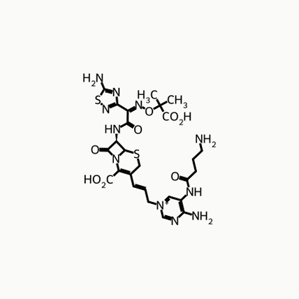 CC(C)(O/N=C(\C(=O)N[C@@H]1C(=O)N2C(C(=O)O)=C(/C=C/C[n+]3cnc(N)c(NC(=O)CCCN)c3)CSC12)c1nsc(N)n1)C(=O)O